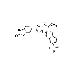 C[C@H](Nc1ncc(-c2ccc3c(c2)CC(=O)N3)s1)[C@@H](N)Cc1ccc(C(F)(F)F)cc1